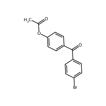 CC(=O)Oc1ccc(C(=O)c2ccc(Br)cc2)cc1